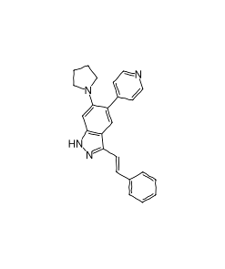 C(=C\c1n[nH]c2cc(N3CCCC3)c(-c3ccncc3)cc12)/c1ccccc1